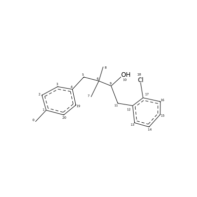 Cc1ccc(CC(C)(C)C(O)Cc2ccccc2Cl)cc1